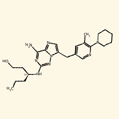 CCC[C@@H](CCO)Nc1nc(N)c2ncc(Cc3cnc(N4CCCCC4)c(C)c3)n2n1